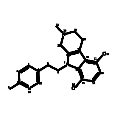 Cc1ccc(CCn2c3c(c4c(Cl)ccc(Cl)c42)CCN(C)C3)cn1